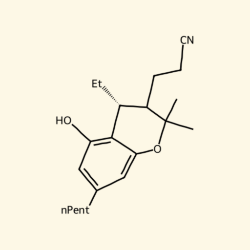 CCCCCc1cc(O)c2c(c1)OC(C)(C)C(CCC#N)[C@H]2CC